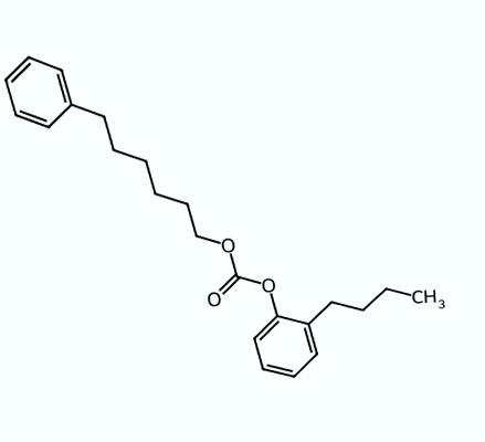 CCCCc1ccccc1OC(=O)OCCCCCCc1ccccc1